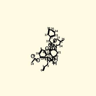 C=CCN1CC[C@@]23c4c5ccc(OC(C)=O)c4C[C@@H]1[C@@H]2CC[C@H](N(CC(C)C)S(=O)(=O)Cc1ccccc1)[C@@H]3O5